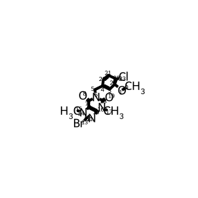 COc1cc(Cn2c(=O)c3c(nc(Br)n3C)n(C)c2=O)ccc1Cl